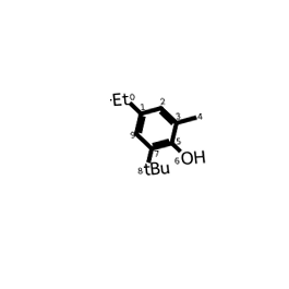 C[CH]c1cc(C)c(O)c(C(C)(C)C)c1